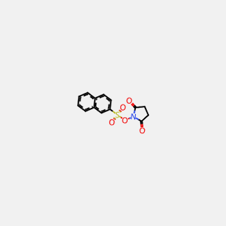 O=C1CCC(=O)N1OS(=O)(=O)c1ccc2ccccc2c1